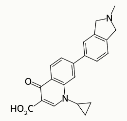 CN1Cc2ccc(-c3ccc4c(=O)c(C(=O)O)cn(C5CC5)c4c3)cc2C1